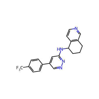 FC(F)(F)c1ccc(-c2cnnc(NC3CCCc4cnccc43)c2)cc1